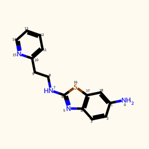 Nc1c[c]c2nc(NCCc3ccccn3)sc2c1